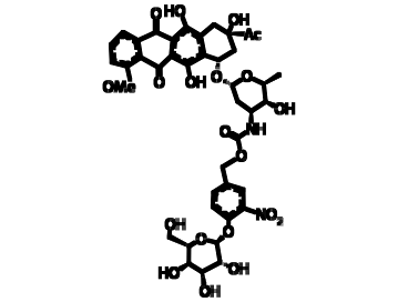 COc1cccc2c1C(=O)c1c(O)c3c(c(O)c1C2=O)C[C@@](O)(C(C)=O)C[C@@H]3O[C@H]1C[C@H](NC(=O)OCc2ccc(O[C@@H]3O[C@H](CO)[C@H](O)[C@H](O)[C@H]3O)c([N+](=O)[O-])c2)[C@H](O)[C@H](C)O1